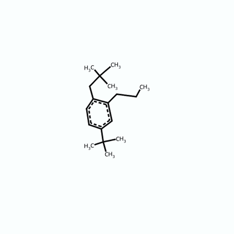 CCCc1cc(C(C)(C)C)ccc1CC(C)(C)C